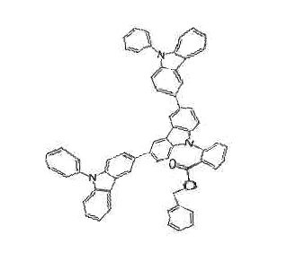 O=C(OCc1ccccc1)c1ccccc1-n1c2ccc(-c3ccc4c(c3)c3ccccc3n4-c3ccccc3)cc2c2cc(-c3ccc4c(c3)c3ccccc3n4-c3ccccc3)ccc21